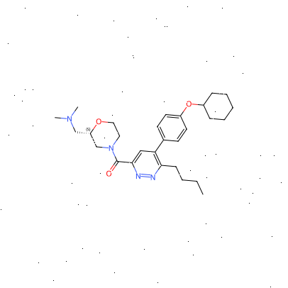 CCCCc1nnc(C(=O)N2CCO[C@@H](CN(C)C)C2)cc1-c1ccc(OC2CCCCC2)cc1